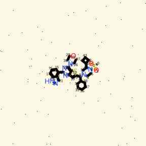 CS(=O)(=O)N1CCN(C(c2cc3nc(-c4cccc5[nH]ncc45)nc(N4CCOCC4)c3s2)C2CCCCC2)CC1C1CCC1